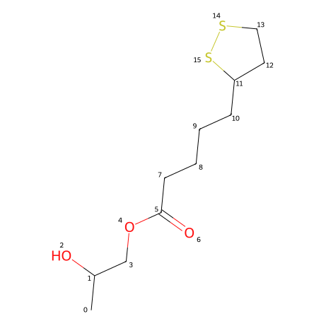 CC(O)COC(=O)CCCCC1CCSS1